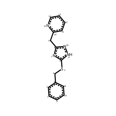 c1ccc(CSc2nc(Cc3ccccn3)n[nH]2)cc1